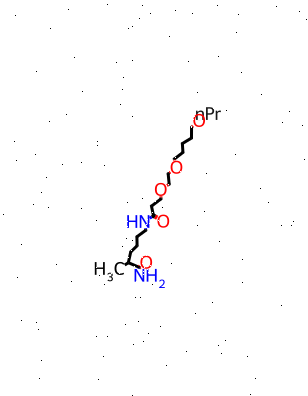 CCCOCCCCCOCCOCCC(=O)NCCCCC(C)C(N)=O